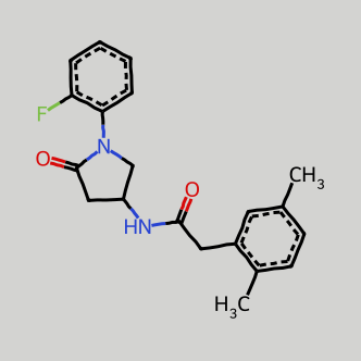 Cc1ccc(C)c(CC(=O)NC2CC(=O)N(c3ccccc3F)C2)c1